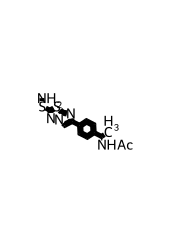 CC(=O)N[C@@H](C)c1ccc(-c2cn3nc(SN)sc3n2)cc1